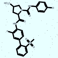 CS(=O)(=O)c1ccccc1-c1ccc(NC(=O)C2CC(C(=O)O)CN2C(=O)Nc2ccc(Cl)cc2)c(F)c1